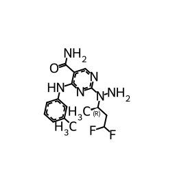 Cc1cccc(Nc2nc(N(N)[C@H](C)CC(F)F)ncc2C(N)=O)c1